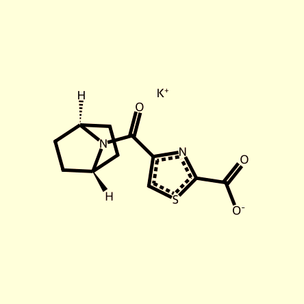 O=C([O-])c1nc(C(=O)N2[C@H]3CC[C@H]2CC3)cs1.[K+]